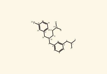 CC(C)Cc1cccc(CN(CCN(C)C)Cc2cccc(F)c2)c1